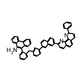 Nc1c(-c2ccccc2Cc2cccc(-c3ccc4ccc(-c5ccc6ccc7ccc(-c8ccccc8)nc7c6n5)cc4c3)c2)c2ccccc2c2ccccc12